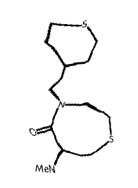 CNC1CSCCN(CC2CCSCC2)C1=O